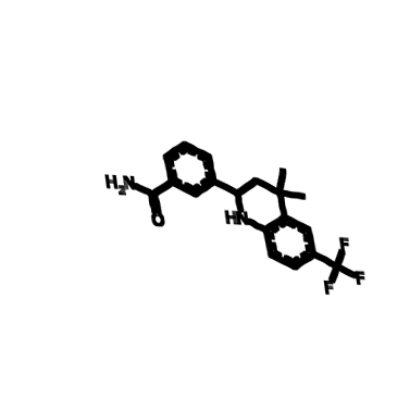 CC1(C)CC(c2cccc(C(N)=O)c2)Nc2ccc(C(F)(F)F)cc21